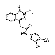 Cc1cc(NC(=O)Cc2nn(C)c(=O)c3ccccc23)ccc1C#N